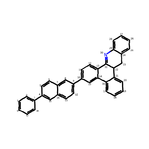 c1ccc(-c2ccc3cc(-c4ccc5c(c4)-c4ccccc4C4Cc6ccccc6N=C54)ccc3c2)cc1